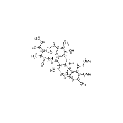 COCOc1c(OC)c(C)cc2c1C1[C@@H]3Cc4c(O)c(C)c5c(c4C(CNC(=O)C(C)NC(=O)OC(C)(C)C)N3[C@@H](C#N)C(C2)N1C)OCO5